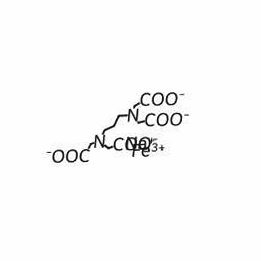 O=C([O-])CN(CCCN(CC(=O)[O-])CC(=O)[O-])CC(=O)[O-].[Fe+3].[Na+]